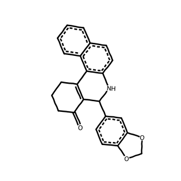 O=C1CCCC2=C1C(c1ccc3c(c1)OCO3)Nc1ccc3ccccc3c12